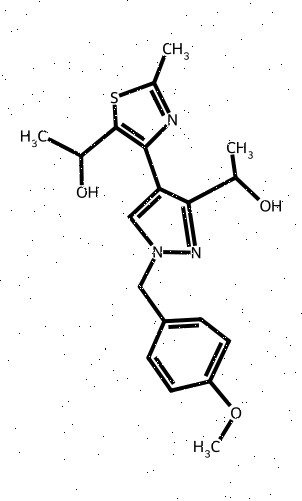 COc1ccc(Cn2cc(-c3nc(C)sc3C(C)O)c(C(C)O)n2)cc1